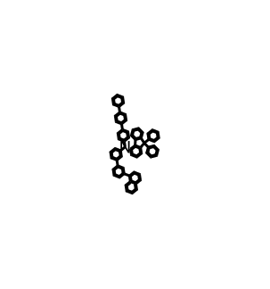 c1ccc(-c2ccc(-c3ccc(N(c4cccc(-c5cccc(-c6cccc7ccccc67)c5)c4)c4cccc5c4-c4ccccc4C5(c4ccccc4)c4ccccc4)cc3)cc2)cc1